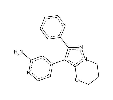 Nc1cc(-c2c(-c3ccccc3)nn3c2OCCC3)ccn1